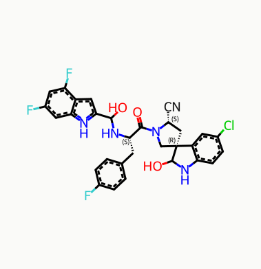 N#C[C@@H]1C[C@]2(CN1C(=O)[C@H](Cc1ccc(F)cc1)NC(O)c1cc3c(F)cc(F)cc3[nH]1)c1cc(Cl)ccc1NC2O